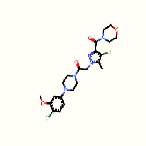 COc1cc(N2CCN(C(=O)Cn3nc(C(=O)N4CCOCC4)c(Cl)c3C)CC2)ccc1Cl